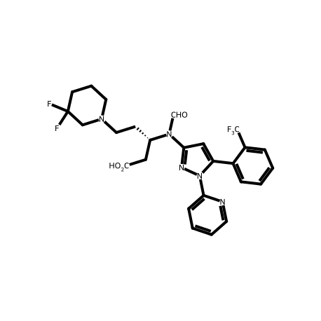 O=CN(c1cc(-c2ccccc2C(F)(F)F)n(-c2ccccn2)n1)[C@@H](CCN1CCCC(F)(F)C1)CC(=O)O